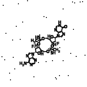 C=P1(S)OC[C@H]2O[C@@H](n3cnc4c(=O)[nH]cnc43)[C@H](F)[C@@H]2OP(=C)(S)OC[C@@H]2O[C@H](n3cnc4c(N)ncnc43)[C@H](F)[C@H]2O1